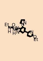 CCNC(=O)Nc1nc2cc(-c3ccc(OCC)nc3)cc(-n3cccn3)c2[nH]1